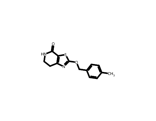 Cc1ccc(COc2nc3c(s2)C(=O)NCC3)cc1